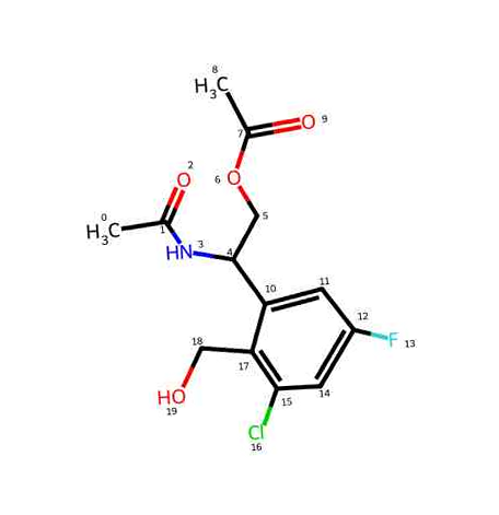 CC(=O)NC(COC(C)=O)c1cc(F)cc(Cl)c1CO